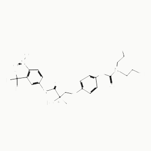 C[C@](O)(CSc1ccc(OC(=O)N(CCCl)CCCl)cc1)C(=O)Nc1ccc([N+](=O)[O-])c(C(F)(F)F)c1